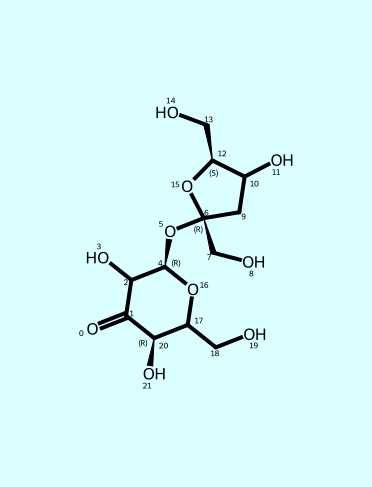 O=C1C(O)[C@@H](O[C@@]2(CO)CC(O)[C@H](CO)O2)OC(CO)[C@H]1O